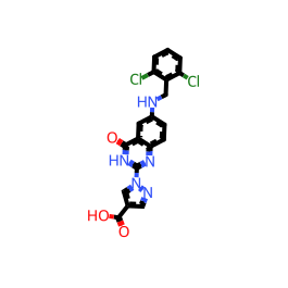 O=C(O)c1cnn(-c2nc3ccc(NCc4c(Cl)cccc4Cl)cc3c(=O)[nH]2)c1